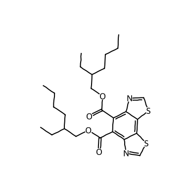 CCCCC(CC)COC(=O)c1c(C(=O)OCC(CC)CCCC)c2ncsc2c2scnc12